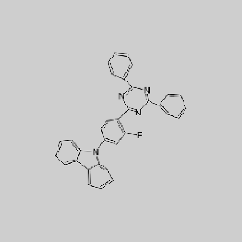 Fc1cc(-n2c3ccccc3c3ccccc32)ccc1-c1nc(-c2ccccc2)nc(-c2ccccc2)n1